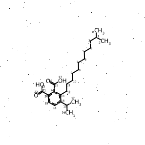 CC(C)CCCCCCCCCCc1c(C(C)C)ccc(C(=O)O)c1C(=O)O